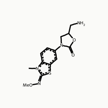 CON=c1sc2cc(N3CC(CN)OC3=O)ccc2n1C